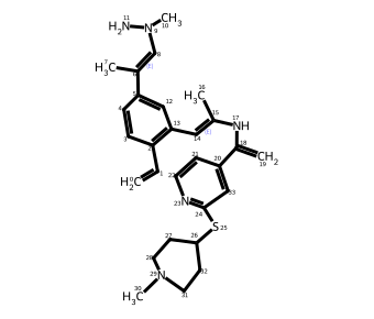 C=Cc1ccc(/C(C)=C/N(C)N)cc1/C=C(\C)NC(=C)c1ccnc(SC2CCN(C)CC2)c1